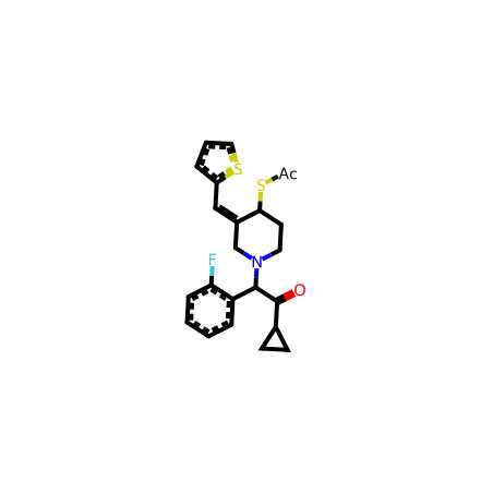 CC(=O)SC1CCN(C(C(=O)C2CC2)c2ccccc2F)C/C1=C/c1cccs1